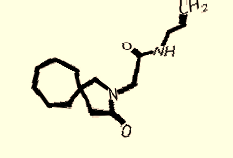 C=CCNC(=O)CN1CC2(CCCCCC2)CC1=O